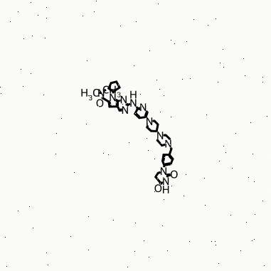 CN(C)C(=O)c1cc2cnc(Nc3ccc(N4CCC(N5CCN(Cc6ccc(N7CCC(=O)NC7=O)cc6)CC5)CC4)cn3)nc2n1C1CCCC1